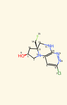 O[C@@H]1CN2c3cc(Cl)nnc3NC[C@@]2(CF)C1